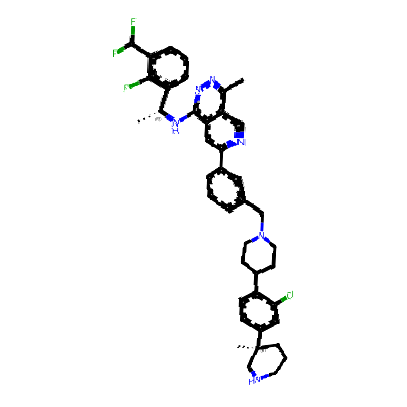 Cc1nnc(N[C@H](C)c2cccc(C(F)F)c2F)c2cc(-c3cccc(CN4CCC(c5ccc([C@@]6(C)CCCNC6)cc5Cl)CC4)c3)ncc12